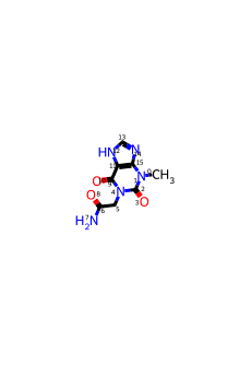 Cn1c(=O)n(CC(N)=O)c(=O)c2[nH]cnc21